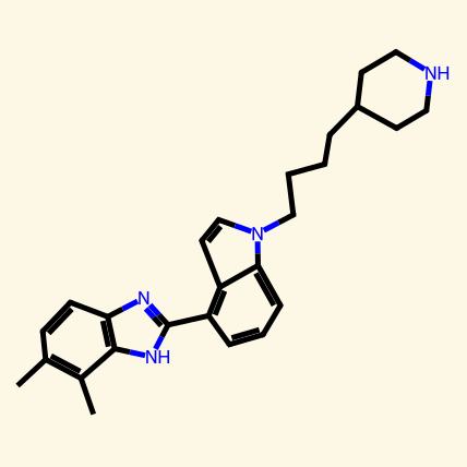 Cc1ccc2nc(-c3cccc4c3ccn4CCCCC3CCNCC3)[nH]c2c1C